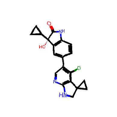 O=C1Nc2ccc(-c3cnc4c(c3Cl)C3(CC3)CN4)cc2[C@@]1(O)C1CC1